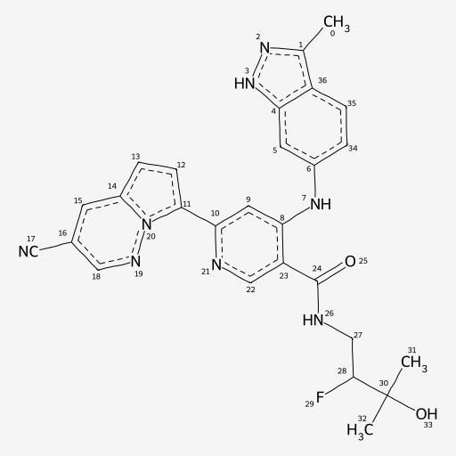 Cc1n[nH]c2cc(Nc3cc(-c4ccc5cc(C#N)cnn45)ncc3C(=O)NCC(F)C(C)(C)O)ccc12